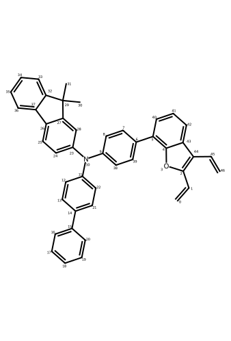 C=Cc1oc2c(-c3ccc(N(c4ccc(-c5ccccc5)cc4)c4ccc5c(c4)C(C)(C)c4ccccc4-5)cc3)cccc2c1C=C